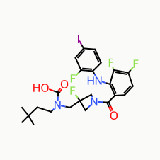 CC(C)(C)CCN(CC1(F)CN(C(=O)c2ccc(F)c(F)c2Nc2ccc(I)cc2F)C1)C(=O)O